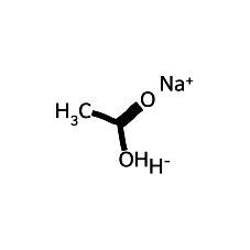 CC(=O)O.[H-].[Na+]